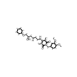 COc1ccc(Cn2c(=O)c(C)c(NCCNCC(O)COc3ccccc3)n(C)c2=O)cc1OC